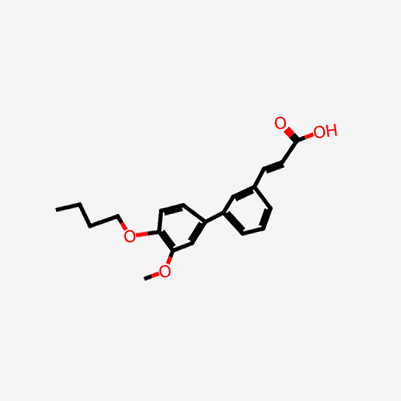 CCCCOc1ccc(-c2cccc(C=CC(=O)O)c2)cc1OC